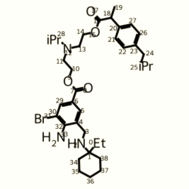 CCC1(NCc2cc(C(=O)OCCN(CCOC(=O)C(C)c3ccc(CC(C)C)cc3)C(C)C)cc(Br)c2N)CCCCC1